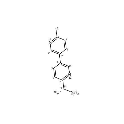 Cc1ccc(-c2ccc([C@@H](C)N)nc2)cn1